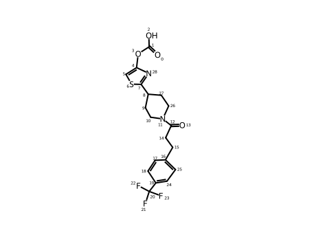 O=C(O)Oc1csc(C2CCN(C(=O)CCc3ccc(C(F)(F)F)cc3)CC2)n1